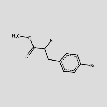 COC(=O)C(Br)Cc1ccc(Br)cc1